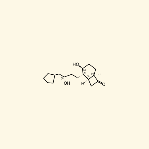 C[C@@]12CC[C@H](O)[C@@H](CC[C@H](O)CC3CCCC3)[C@@H]1CC2=O